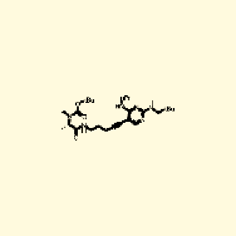 CCCNc1nc(NCC(C)(C)C)ncc1C#CCCCNC(=O)[C@H](C)N(C)C(=O)OC(C)(C)C